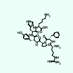 N=C(N)NCCC[C@@H](N)C(=O)N[C@@H](Cc1ccccc1)C(=O)N1CCC[C@H]1C(=O)N[C@H](Cc1ccc(O)cc1)C(=O)N[C@@H](Cc1c[nH]cn1)C(=O)N[C@@H](CCCCN)C(=O)O